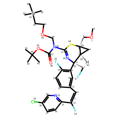 COC[C@]12C[C@H]1[C@@](CF)(c1cc(/C=C(/F)c3ccc(Cl)cn3)ccc1F)N=C(N(COCC[Si](C)(C)C)C(=O)OC(C)(C)C)S2